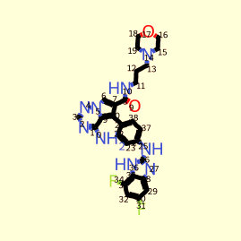 Nc1ncnn2cc(C(=O)NCCCN3CCOCC3)c(-c3ccc(Nc4nc5cc(F)cc(F)c5[nH]4)cc3)c12